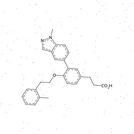 Cc1ccccc1CCOc1ccc(CCC(=O)O)cc1-c1ccc2c(cnn2C)c1